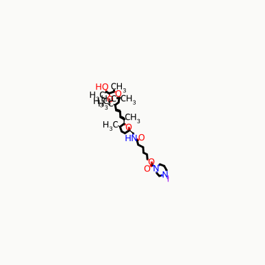 CO[C@H](C(C)OC(C)(C)C[C@H](C)/C=C/C=C(\C)[C@H]1O[C@@H](CNC(=O)CCCCCOC(=O)N2CCCN(I)CC2)CC[C@@H]1C)[C@@H](C)O